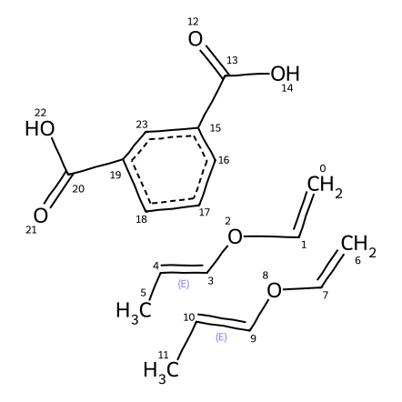 C=CO/C=C/C.C=CO/C=C/C.O=C(O)c1cccc(C(=O)O)c1